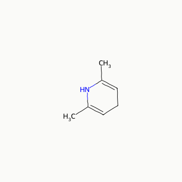 CC1=CCC=C(C)N1